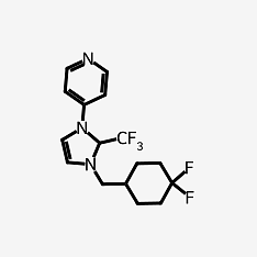 FC1(F)CCC(CN2C=CN(c3ccncc3)C2C(F)(F)F)CC1